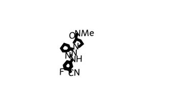 CNC(=O)C1CCCN(c2nc(Nc3ccc(F)c(C#N)c3)nc3c2CCCC3)C1